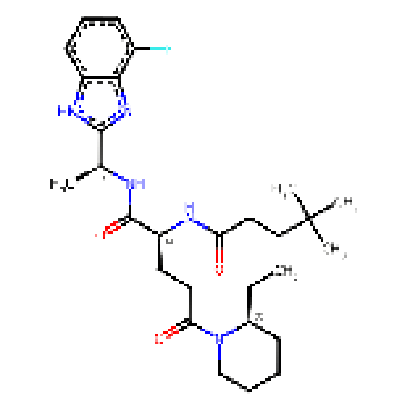 CC[C@H]1CCCCN1C(=O)CC[C@H](NC(=O)CCC(C)(C)C)C(=O)N[C@@H](C)c1nc2c(F)cccc2[nH]1